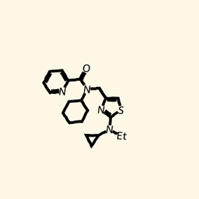 CCN(c1nc(CN(C(=O)c2ccccn2)C2CCCCC2)cs1)C1CC1